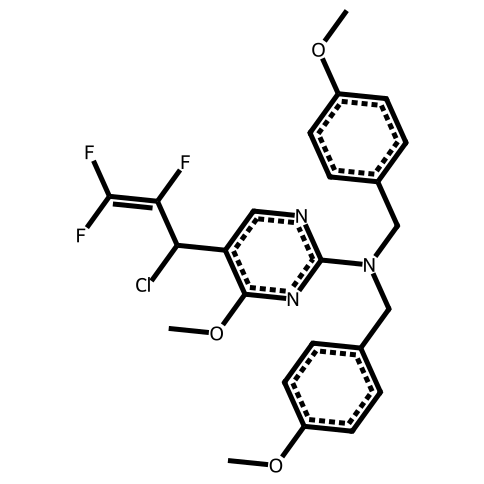 COc1ccc(CN(Cc2ccc(OC)cc2)c2ncc(C(Cl)C(F)=C(F)F)c(OC)n2)cc1